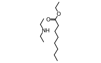 CCCCCCCC(=O)OCC.CCNCC